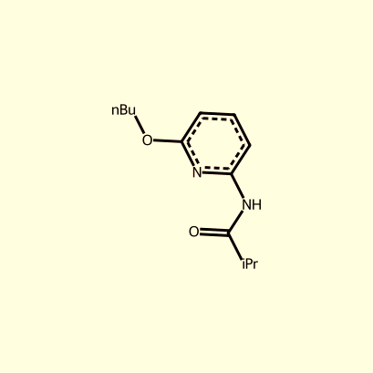 CCCCOc1cccc(NC(=O)C(C)C)n1